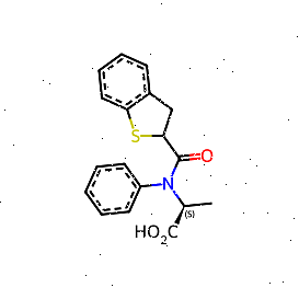 C[C@@H](C(=O)O)N(C(=O)C1Cc2ccccc2S1)c1ccccc1